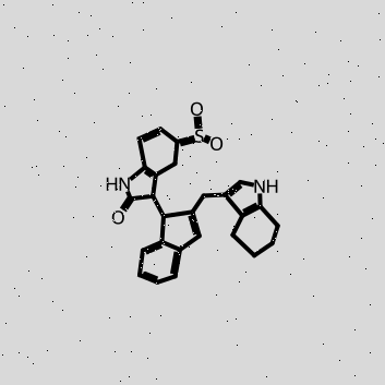 O=C1NC2=C(CC(=S(=O)=O)C=C2)C1C1C(Cc2c[nH]c3c2CCCC3)=Cc2ccccc21